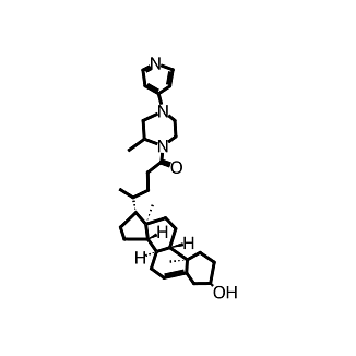 CC(CCC(=O)N1CCN(c2ccncc2)CC1C)[C@H]1CC[C@H]2[C@@H]3CC=C4C[C@@H](O)CC[C@]4(C)[C@H]3CC[C@]12C